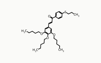 CCCCCOc1cc(/C=C/C(=O)c2ccc(SCCC)cc2)cc(OCCCCC)c1OCCCCC